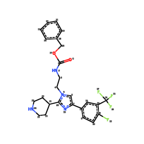 O=C(NCCn1cc(-c2ccc(F)c(C(F)(F)F)c2)nc1C1CCNCC1)OCc1ccccc1